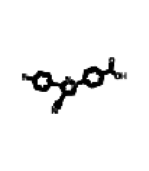 N#Cc1cn(-c2ccc(C(=O)O)cc2)nc1-c1ccc(F)cc1